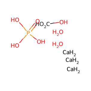 O.O.O=C(O)O.O=P(O)(O)O.[CaH2].[CaH2].[CaH2]